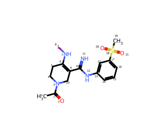 CC(=O)N1CCC(NI)=C(C(=N)Nc2cccc(S(C)(=O)=O)c2)C1